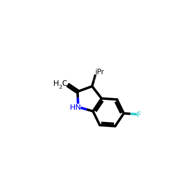 C=C1Nc2ccc(F)cc2C1C(C)C